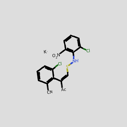 CC(=O)C(=CSNc1c(Cl)cccc1[N+](=O)[O-])c1c(Cl)cccc1C#N.[K]